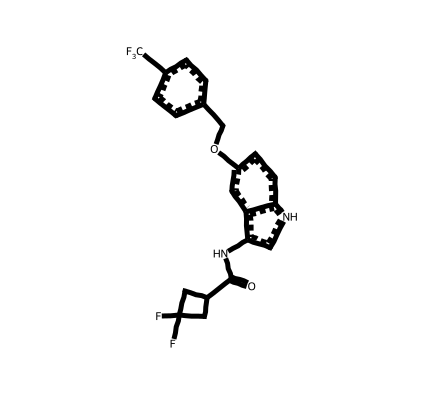 O=C(Nc1c[nH]c2ccc(OCc3ccc(C(F)(F)F)cc3)cc12)C1CC(F)(F)C1